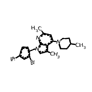 Cc1cc(N2CCC(C)CC2)c2c(C)cn(-c3ccc(C(C)C)cc3Br)c2n1